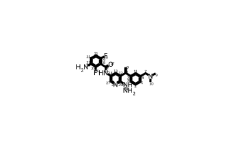 C=C(c1cccc(CN(C)C)c1)c1cc(NC(=O)c2c(F)ccc(N)c2F)cnc1NN